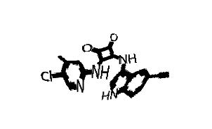 C#Cc1ccc2[nH]cc(NC3C(=O)C(=O)C3Nc3cc(C)c(Cl)cn3)c2c1